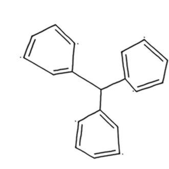 [c]1cc[c]c(C(c2[c]cc[c]c2)c2[c]cc[c]c2)c1